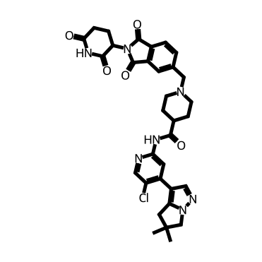 CC1(C)Cc2c(-c3cc(NC(=O)C4CCN(Cc5ccc6c(c5)C(=O)N(C5CCC(=O)NC5=O)C6=O)CC4)ncc3Cl)cnn2C1